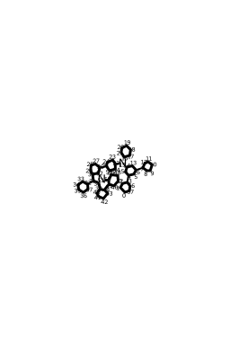 c1ccc(-c2cc(-c3ccccc3)cc(N(c3ccccc3)c3ccc(-c4cccc5c(-c6ccccc6)c6c7ccccc7c7ccccc7n6c45)cc3)c2)cc1